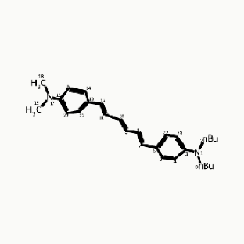 CCCCN(CCCC)c1ccc(/C=C/C=C/C=C/c2ccc(N(C)C)cc2)cc1